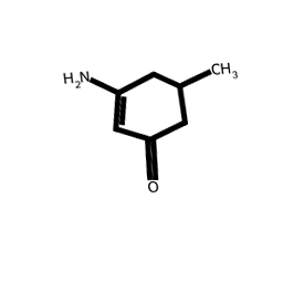 CC1CC(=O)C=C(N)C1